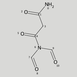 NC(=O)CC(=O)N(C=O)C=O